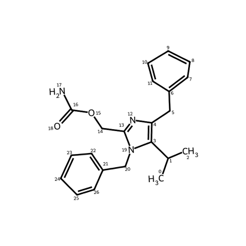 CC(C)c1c(Cc2ccccc2)nc(COC(N)=O)n1Cc1ccccc1